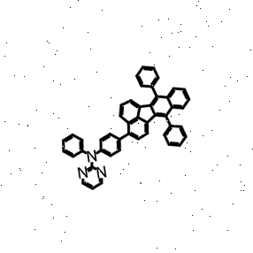 c1ccc(-c2c3c(c(-c4ccccc4)c4ccccc24)-c2ccc(-c4ccc(N(c5ccccc5)c5ncccn5)cc4)c4cccc-3c24)cc1